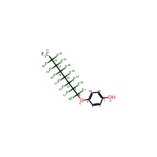 Oc1ccc(OC(F)(F)C(F)(F)C(F)(F)C(F)(F)C(F)(F)C(F)(F)C(F)(F)C(F)(F)F)cc1